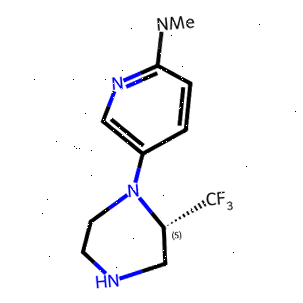 CNc1ccc(N2CCNC[C@H]2C(F)(F)F)cn1